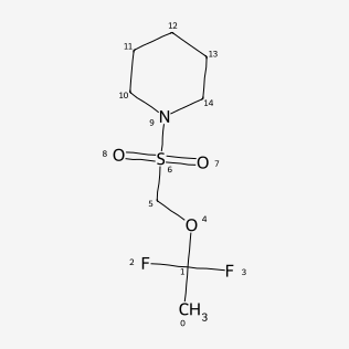 CC(F)(F)OCS(=O)(=O)N1CCCCC1